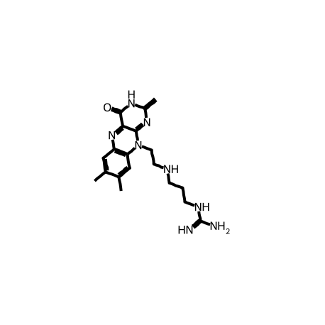 C=c1nc2c(c(=O)[nH]1)=Nc1cc(C)c(C)cc1N2CCNCCCNC(=N)N